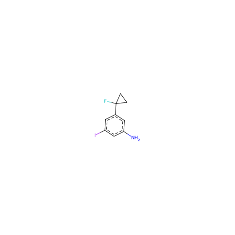 Nc1cc(I)cc(C2(F)CC2)c1